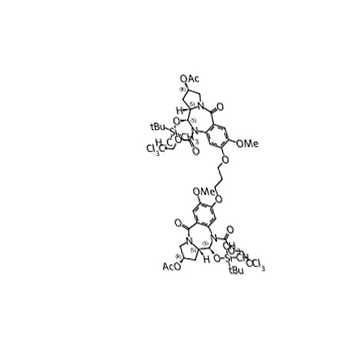 COc1cc2c(cc1OCCCOc1cc3c(cc1OC)C(=O)N1C[C@H](OC(C)=O)C[C@H]1[C@H](O[Si](C)(C)C(C)(C)C)N3C(=O)OCC(Cl)(Cl)Cl)N(C(=O)OCC(Cl)(Cl)Cl)[C@@H](O[Si](C)(C)C(C)(C)C)[C@@H]1C[C@@H](OC(C)=O)CN1C2=O